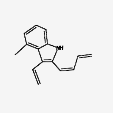 C=C/C=C\c1[nH]c2cccc(C)c2c1C=C